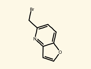 BrCc1ccc2occc2n1